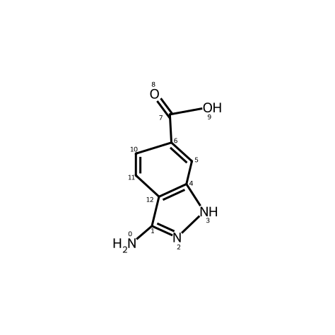 Nc1n[nH]c2cc(C(=O)O)ccc12